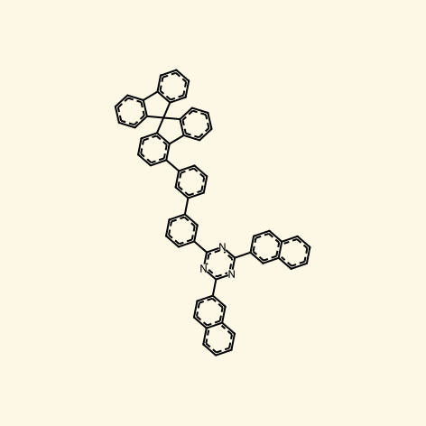 c1cc(-c2cccc(-c3cccc4c3-c3ccccc3C43c4ccccc4-c4ccccc43)c2)cc(-c2nc(-c3ccc4ccccc4c3)nc(-c3ccc4ccccc4c3)n2)c1